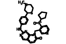 CN1CCSC(c2ccc(Nc3ncc4ccc(=O)n(Cc5cnccc5[S+]([O-])C5CCCC5)c4n3)cc2)C1